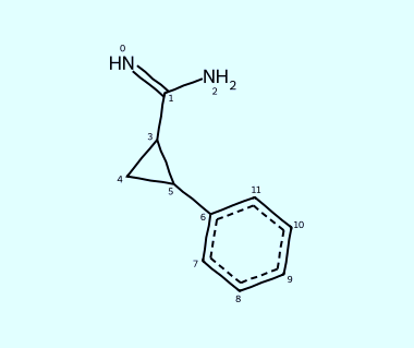 N=C(N)C1CC1c1ccccc1